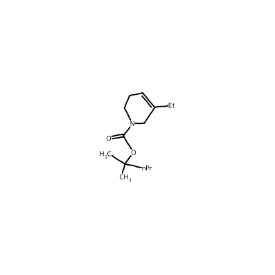 CCCC(C)(C)OC(=O)N1CCC=C(CC)C1